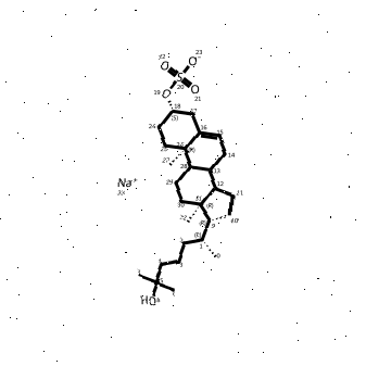 C[C@H](CCCC(C)(C)O)[C@H]1CCC2C3CC=C4C[C@@H](OS(=O)(=O)[O-])CC[C@]4(C)C3CC[C@@]21C.[Na+]